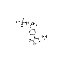 CCC(=O)N(c1ccc(C(C)CNS(=O)(=O)C(C)C)cc1)C1CCCNC1